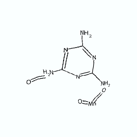 C=O.Nc1nc(N)nc(N)n1.[O]=[Mn]=[O]